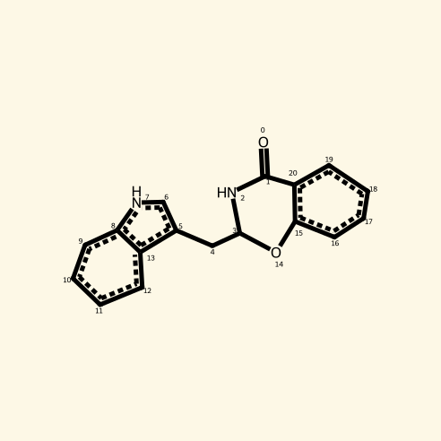 O=C1NC(Cc2c[nH]c3ccccc23)Oc2ccccc21